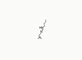 CCCCN/C=N/CCN(C)C